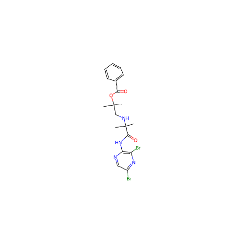 CC(C)(CNC(C)(C)C(=O)Nc1ncc(Br)nc1Br)OC(=O)c1ccccc1